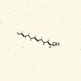 C/C=C/CC/C=C/CC/C=C/O